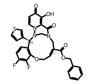 O=C(OCc1ccccc1)/C1=C/COc2c(ccc(F)c2F)[C@@H](c2ccsc2)N2CN(C1)C(=O)c1c(O)c(=O)ccn12